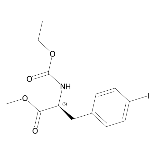 CCOC(=O)N[C@@H](Cc1ccc(I)cc1)C(=O)OC